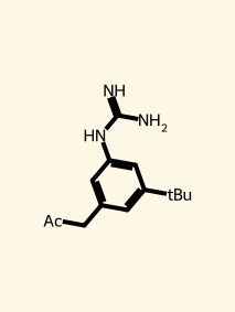 CC(=O)Cc1cc(NC(=N)N)cc(C(C)(C)C)c1